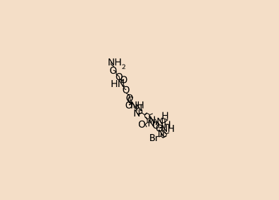 CC(=O)c1nn(CC(=O)N2C[C@H]3C[C@H]3[C@H]2C(=O)Nc2nc(Br)ccc2C)c2c(C)cc(-c3cnc(CNC(=O)COCCOCCNC(=O)COCCOCCN)nc3)cc12